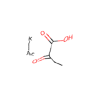 CC(=O)C(=O)O.C[C](=O)[K]